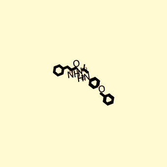 C[C@@H](CNc1ccc(OCc2ccccc2)cc1)NC(=O)[C@@H](N)CC1CCCCC1